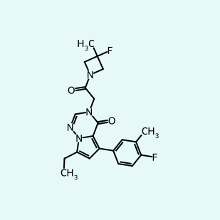 CCc1cc(-c2ccc(F)c(C)c2)c2c(=O)n(CC(=O)N3CC(C)(F)C3)cnn12